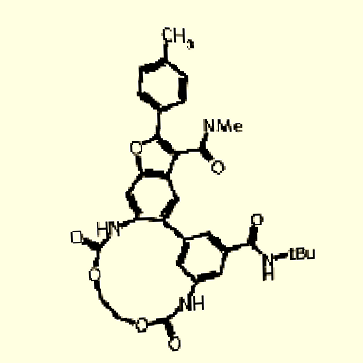 CNC(=O)c1c(-c2ccc(C)cc2)oc2cc3c(cc12)-c1cc(cc(C(=O)NC(C)(C)C)c1)NC(=O)OCCOC(=O)N3